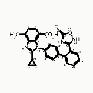 Cc1ccc(C(=O)O)c2c1nc(C1CC1)n2-c1ccc(-c2ccccc2-c2nc(=S)o[nH]2)cc1